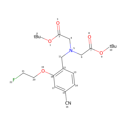 CC(C)(C)OC(=O)CN(CC(=O)OC(C)(C)C)Cc1ccc(C#N)cc1OCCF